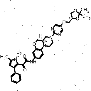 Cc1cc(-c2ccccc2)c(C(=O)C(=O)Nc2ccc3c(c2)OC[C@H]2CN(c4ncc(OC[C@H]5COC(C)(C)O5)cn4)CCN32)n1C